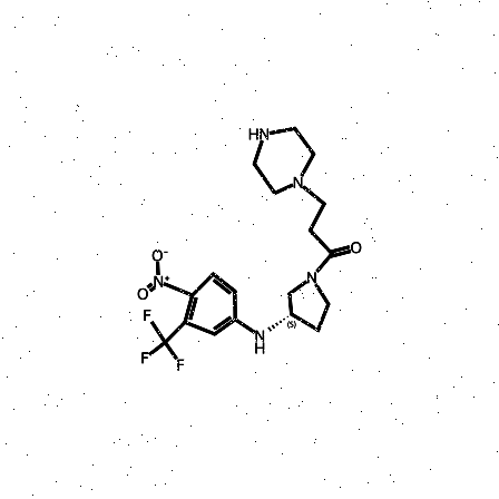 O=C(CCN1CCNCC1)N1CC[C@H](Nc2ccc([N+](=O)[O-])c(C(F)(F)F)c2)C1